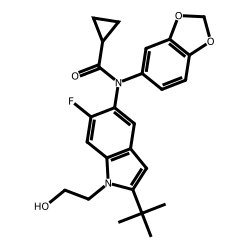 CC(C)(C)c1cc2cc(N(C(=O)C3CC3)c3ccc4c(c3)OCO4)c(F)cc2n1CCO